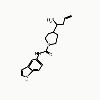 C=CCC(N)C1CCN(C(=O)Nc2ccc3[nH]ccc3c2)CC1